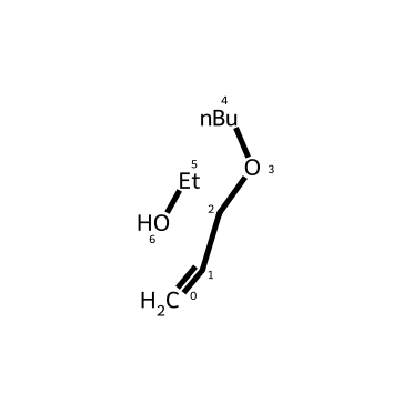 C=CCOCCCC.CCO